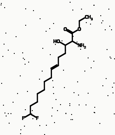 CCOC(=O)C(N)C(O)CC/C=C/CCCCCCC(F)F